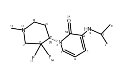 CC(C)Nc1cccn([C@H]2CCN(C)CC2(F)F)c1=O